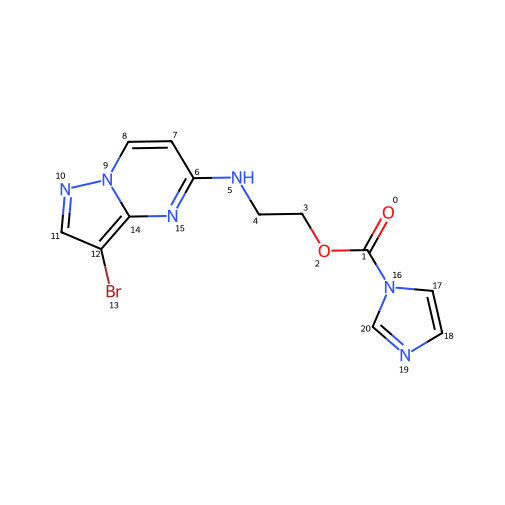 O=C(OCCNc1ccn2ncc(Br)c2n1)n1ccnc1